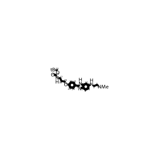 CNCCNc1ccc2nc(-c3ccc(OCCCNC(=O)OC(C)(C)C)cc3)[nH]c2c1